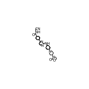 N#CCNC(=O)c1ccc(-c2ccnc(Nc3ccc(N4CCC(N5CCOC5=O)CC4)cc3)n2)cc1